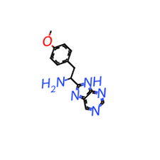 COc1ccc(CC(N)c2nc3cncnc3[nH]2)cc1